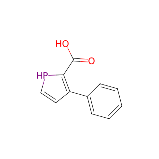 O=C(O)c1[pH]ccc1-c1ccccc1